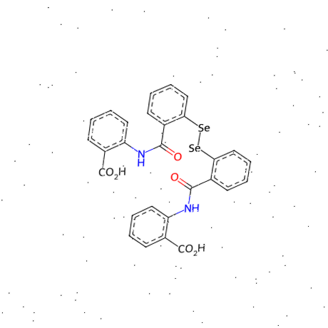 O=C(O)c1ccccc1NC(=O)c1ccccc1[Se][Se]c1ccccc1C(=O)Nc1ccccc1C(=O)O